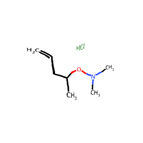 C=CCC(C)ON(C)C.Cl